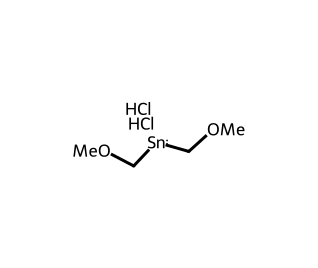 CO[CH2][Sn][CH2]OC.Cl.Cl